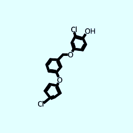 Oc1ccc(OCc2cccc(Oc3ccc(Cl)cc3)c2)cc1Cl